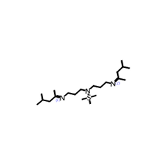 C/C(CC(C)C)=N/CCCN(CCC/N=C(\C)CC(C)C)S(C)(C)C